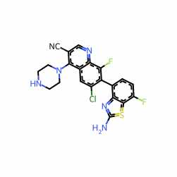 N#Cc1cnc2c(F)c(-c3ccc(F)c4sc(N)nc34)c(Cl)cc2c1N1CCNCC1